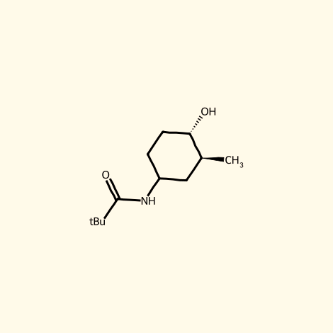 C[C@H]1CC(NC(=O)C(C)(C)C)CC[C@@H]1O